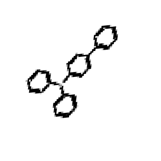 c1ccc(-c2ccc(N(c3ccccc3)c3ccccc3)cc2)cc1